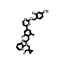 N#Cc1ccc(COc2nccc(-c3cc(F)c(Cc4nc5cccnc5n4CC4(CF)CC4)c(F)c3)n2)c(F)c1